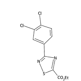 CCOC(=O)c1nc(-c2ccc(Cl)c(Cl)c2)ns1